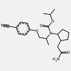 CC(C)OC(=O)N(C(C)COc1ccc(C#N)cc1)C1CCCC1CC(N)=O